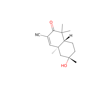 CC1(C)C(=O)C(C#N)=C[C@]2(C)C[C@@](C)(O)CC[C@@H]12